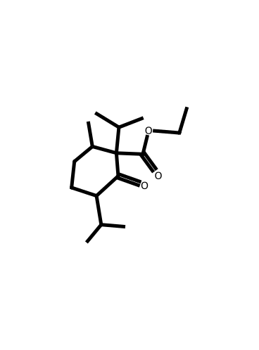 CCOC(=O)C1(C(C)C)C(=O)C(C(C)C)CCC1C